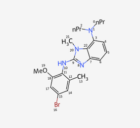 CCCN(CCC)c1cccc2nc(Nc3c(C)cc(Br)cc3OC)n(C)c12